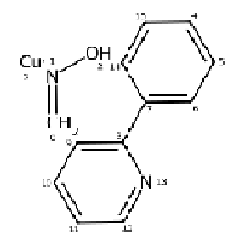 C=NO.[Cu].c1ccc(-c2ccccn2)cc1